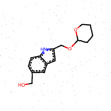 OCc1ccc2[nH]c(COC3CCCCO3)cc2c1